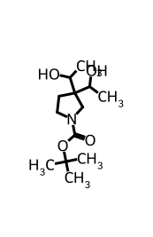 CC(O)C1(C(C)O)CCN(C(=O)OC(C)(C)C)C1